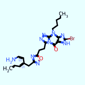 C=C/C=C(\C=C/N)Cc1noc(CCc2nnc3n(CCCCC)c4nc(Br)[nH]c4c(=O)n23)n1